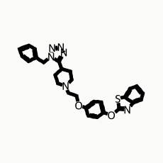 c1ccc(Cn2nnnc2C2CCN(CCOc3ccc(Oc4nc5ccccc5s4)cc3)CC2)cc1